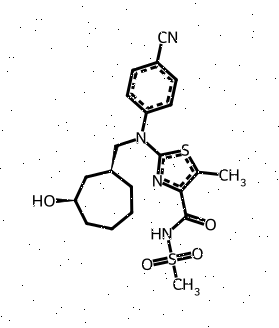 Cc1sc(N(C[C@H]2CCCC[C@@H](O)C2)c2ccc(C#N)cc2)nc1C(=O)NS(C)(=O)=O